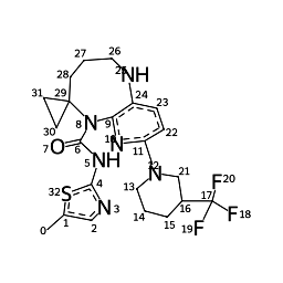 Cc1cnc(NC(=O)N2c3nc(N4CCCC(C(F)(F)F)C4)ccc3NCCCC23CC3)s1